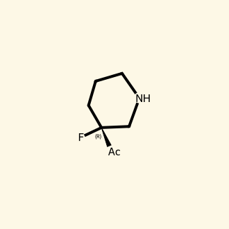 CC(=O)[C@@]1(F)CCCNC1